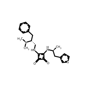 C[C@@H](Cc1ccsc1)Nc1c(NC[C@@H](Cc2ccccc2)N(C)C)c(=O)c1=O